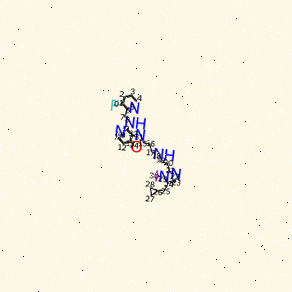 Fc1cccnc1CNc1nccc2oc(CCNCCc3ncc(CC4CC4)n3I)nc12